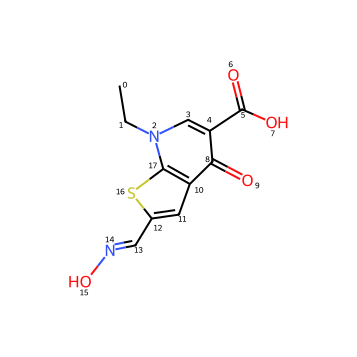 CCn1cc(C(=O)O)c(=O)c2cc(C=NO)sc21